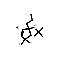 CCCC1(NC(C)(C)C)C=CC(Cl)(Cl)C1.Cl